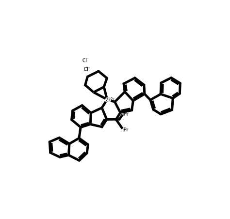 CC(C)CC1=Cc2c(-c3cccc4ccccc34)cccc2[CH]1[Zr+2]1([CH]2C(CC(C)C)=Cc3c(-c4cccc5ccccc45)cccc32)[CH]2CCCC[CH]21.[Cl-].[Cl-]